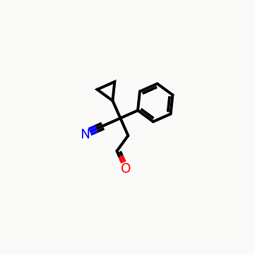 N#CC(CC=O)(c1ccccc1)C1CC1